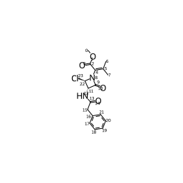 COC(=O)C(=C(C)C)N1C(=O)[C@H](NC(=O)Cc2ccccc2)[C@H]1Cl